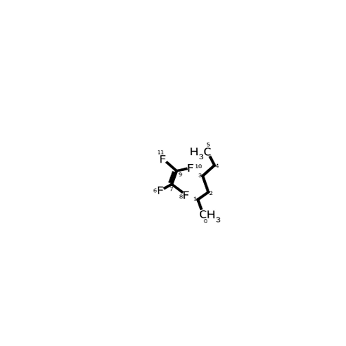 CCCCCC.FC(F)=C(F)F